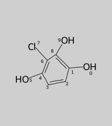 Oc1ccc(O)c(Cl)c1O